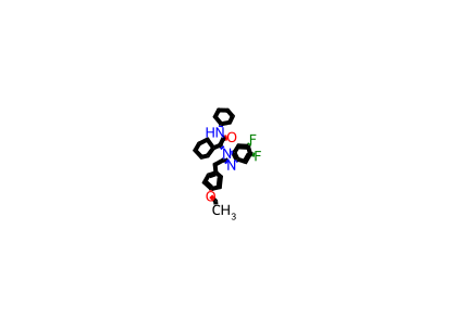 CCOc1ccc(Cc2nc3cc(F)c(F)cc3n2C(C(=O)NC2CCCCC2)C2CCCCC2)cc1